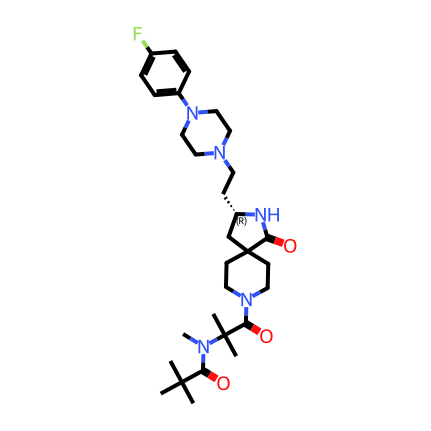 CN(C(=O)C(C)(C)C)C(C)(C)C(=O)N1CCC2(CC1)C[C@H](CCN1CCN(c3ccc(F)cc3)CC1)NC2=O